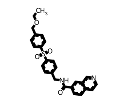 CCOCc1ccc(S(=O)(=O)c2ccc(CNC(=O)c3ccc4ccncc4c3)cc2)cc1